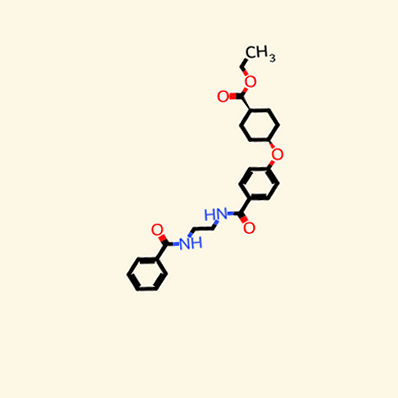 CCOC(=O)[C@H]1CC[C@@H](Oc2ccc(C(=O)NCCNC(=O)c3ccccc3)cc2)CC1